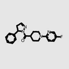 O=C(C1CCN(c2ccc(F)cn2)CC1)N1N=CCC1c1ccccc1